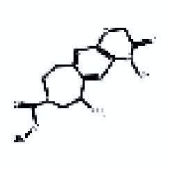 CCCN1C(=O)COc2cc3c(cc21)C(C)CN(C(=O)OC(C)(C)C)CC3